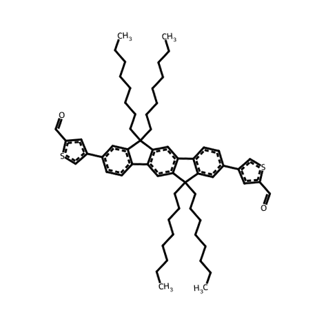 CCCCCCCCC1(CCCCCCCC)c2cc(-c3csc(C=O)c3)ccc2-c2cc3c(cc21)-c1ccc(-c2csc(C=O)c2)cc1C3(CCCCCCCC)CCCCCCCC